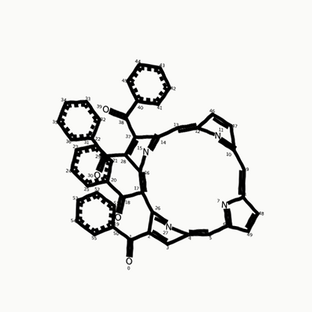 O=C(C1=CC2=CC3=NC(=CC4=NC(=CC5=NC(=C(C(=O)c6ccccc6)C1=N2)C(C(=O)c1ccccc1)=C5C(=O)c1ccccc1)C=C4)C=C3)c1ccccc1